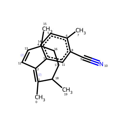 C/C1=C(c2ccc(C)c(C#N)c2)\C=C/C(C)CCC1C